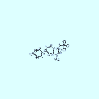 CC(=O)c1nn(CP(=O)(Cl)Cl)c2ccc(-c3cnc(C)nc3)cc12